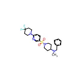 CN(Cc1ccccc1)C1CCN(S(=O)(=O)c2ccc(N3CCC(F)(F)CC3)nc2)CC1